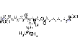 CCCCCCCC/C=C\CCCCCCCC(=O)OCCN(COC(=O)CCCCCCC/C=C\CCCCCCCC)C(=O)CCCN(C)C